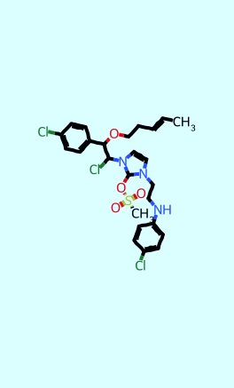 CC=CCCOC(c1ccc(Cl)cc1)C(Cl)N1C=CN(CCNc2ccc(Cl)cc2)C1OS(C)(=O)=O